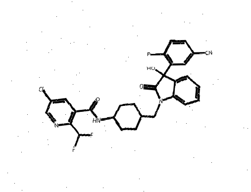 N#Cc1ccc(F)c(C2(O)C(=O)N(CC3CCC(NC(=O)c4cc(Cl)cnc4C(F)F)CC3)c3ccccc32)c1